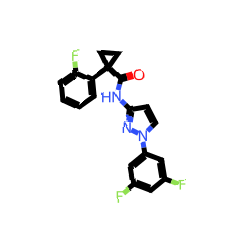 O=C(Nc1ccn(-c2cc(F)cc(F)c2)n1)C1(c2ccccc2F)CC1